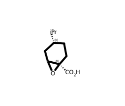 CC(C)[C@@H]1CC[C@@]2(C(=O)O)OC2C1